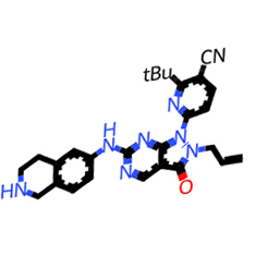 C=CCn1c(=O)c2cnc(Nc3ccc4c(c3)CCNC4)nc2n1-c1ccc(C#N)c(C(C)(C)C)n1